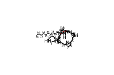 C1=CC=CNC=C1.C1=Cc2cc3ccc(cc4nc(cc5ccc(cc1n2)[nH]5)C=C4)[nH]3.CCCCCCCCCCNNNN